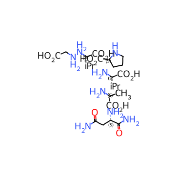 CC(C)[C@H](N)C(=O)O.CC(C)[C@H](N)C(=O)O.C[C@H](N)C(=O)O.NC(=O)C[C@H](N)C(N)=O.NCC(=O)O.O=C(O)[C@@H]1CCCN1